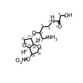 NCC(CCNC(=O)CO)O[C@H]1CO[C@@H]2C(O[N+](=O)[O-])CO[C@H]12